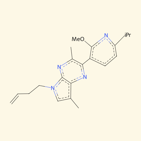 C=CCCn1cc(C)c2nc(-c3ccc(C(C)C)nc3OC)c(C)nc21